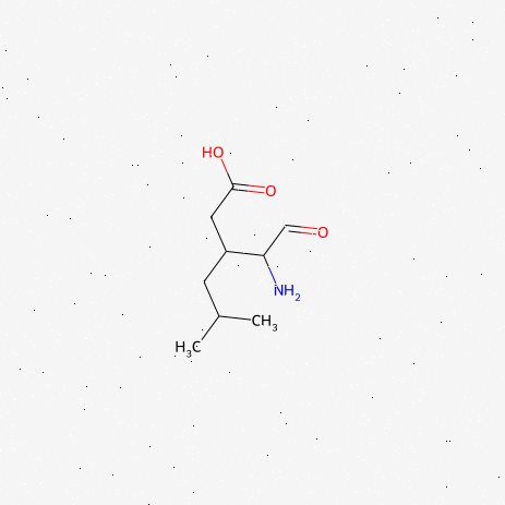 CC(C)CC(CC(=O)O)C(N)C=O